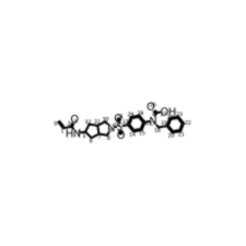 C=CC(=O)NC1CC2CN(S(=O)(=O)c3ccc(N(Cc4ccccc4)C(=O)O)cc3)CC2C1